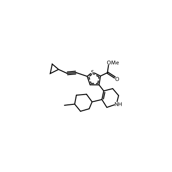 COC(=O)c1sc(C#CC2CC2)cc1C1=C(C2CCC(C)CC2)CNCC1